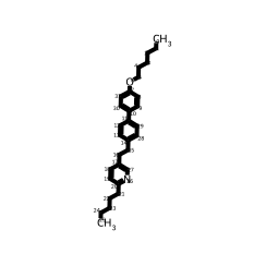 CCCCCCOc1ccc(-c2ccc(CCc3ccc(CCCCC)nc3)cc2)cc1